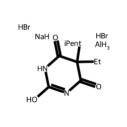 Br.Br.CCCC(C)C1(CC)C(=O)N=C(O)NC1=O.[AlH3].[NaH]